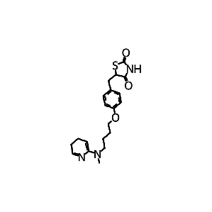 CN(CCCCOc1ccc(CC2SC(=O)NC2=O)cc1)C1=CCCC=N1